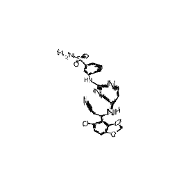 N#CC(Nc1ccnc(Nc2cccc(S(N)(=O)=O)c2)n1)c1c(Cl)ccc2c1OCO2